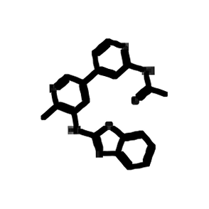 CC(=O)Nc1cc(-c2cnc(C)c(Nc3nc4ccccc4o3)c2)ccn1